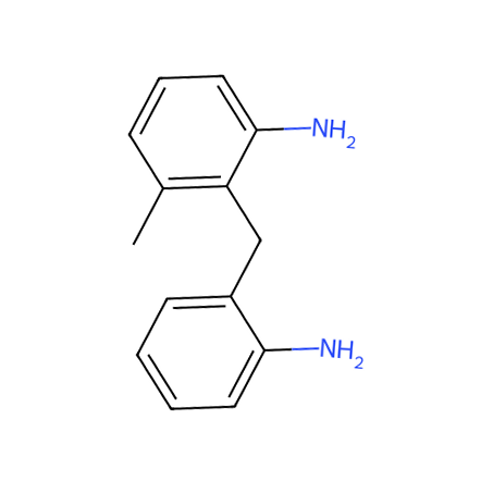 Cc1cccc(N)c1Cc1ccccc1N